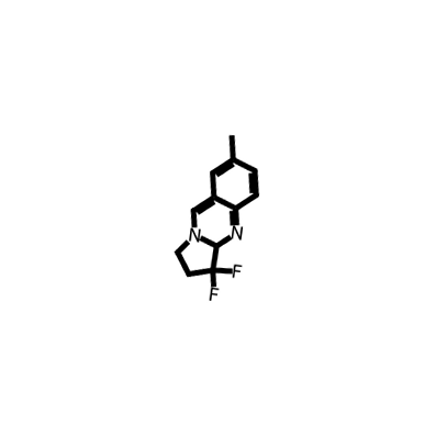 Cc1ccc2c(c1)=CN1CCC(F)(F)C1N=2